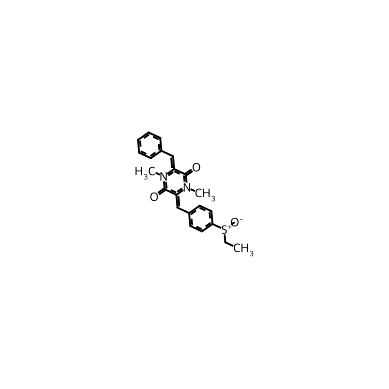 CC[S+]([O-])c1ccc(/C=c2/c(=O)n(C)/c(=C\c3ccccc3)c(=O)n2C)cc1